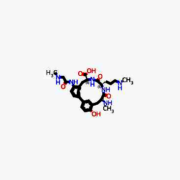 CNCCC[C@@H]1NC(=O)[C@@H](NC)Cc2cc(ccc2O)-c2ccc(NC(=O)CNC)c(c2)C[C@@H](C(=O)O)NC1=O